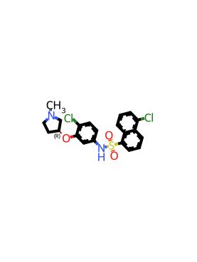 CN1CC[C@@H](Oc2cc(NS(=O)(=O)c3cccc4c(Cl)cccc34)ccc2Cl)C1